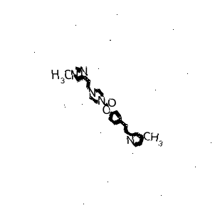 Cc1ccnc(CCc2ccc(OC(=O)N3CCN(CCc4cn(C)cn4)CC3)cc2)c1